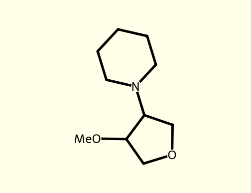 COC1COCC1N1CCCCC1